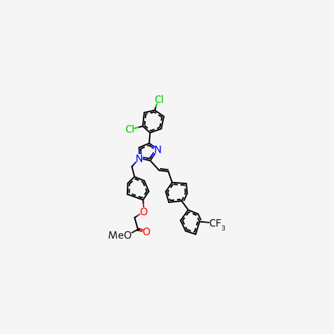 COC(=O)COc1ccc(Cn2cc(-c3ccc(Cl)cc3Cl)nc2C=Cc2ccc(-c3cccc(C(F)(F)F)c3)cc2)cc1